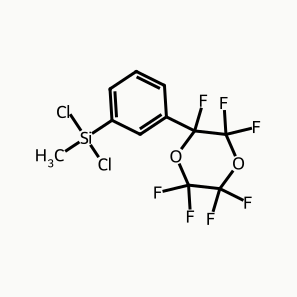 C[Si](Cl)(Cl)c1cccc(C2(F)OC(F)(F)C(F)(F)OC2(F)F)c1